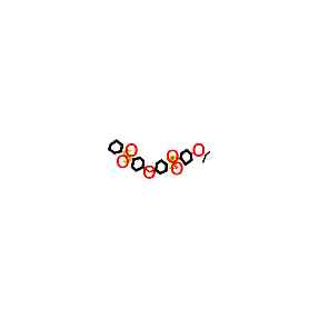 CC(C)Oc1ccc(S(=O)(=O)c2ccc(Oc3ccc(S(=O)(=O)c4ccccc4)cc3)cc2)cc1